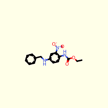 CCOC(=O)Nc1ccc(NCc2ccccc2)cc1[N+](=O)[O-]